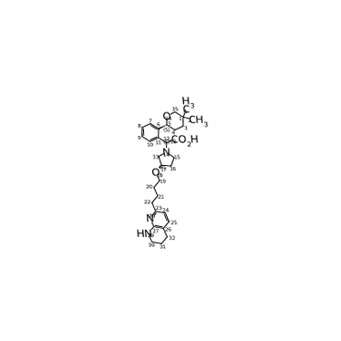 CC1(C)CC[C@@H](c2ccccc2[C@@H](C(=O)O)N2CC[C@@H](OCCCCc3ccc4c(n3)NCCC4)C2)OC1